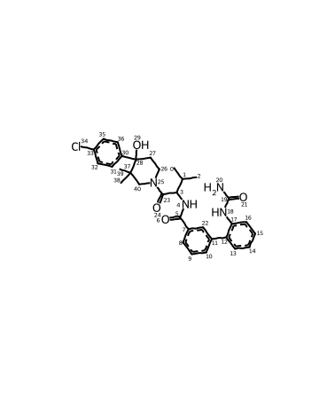 CC(C)C(NC(=O)c1cccc(-c2ccccc2NC(N)=O)c1)C(=O)N1CCC(O)(c2ccc(Cl)cc2)C(C)(C)C1